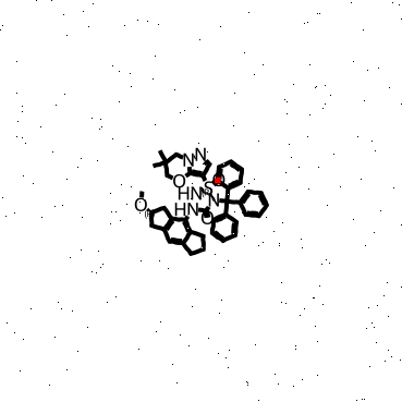 CO[C@@H]1Cc2cc3c(c(NC(=O)N(C(c4ccccc4)(c4ccccc4)c4ccccc4)[S@](=N)(=O)c4cnn5c4OCC(C)(C)C5)c2C1)CCC3